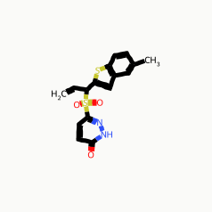 C=CC(c1cc2cc(C)ccc2s1)S(=O)(=O)c1ccc(=O)[nH]n1